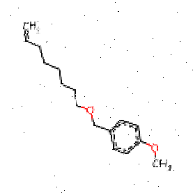 C=CCCCCCCOCc1ccc(OC)cc1